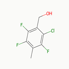 Cc1c(F)c(F)c(CO)c(Cl)c1F